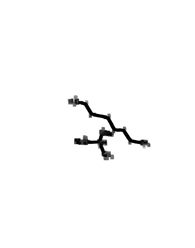 CCCCCCCC.CO[SiH](C)OC